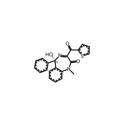 CN1C(=O)C(C(=O)c2cccs2)=N[C@](O)(c2ccccc2)c2ccccc21